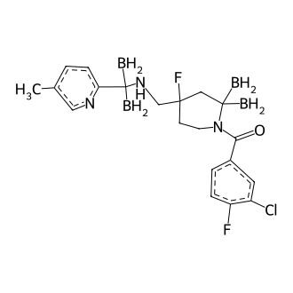 BC(B)(NCC1(F)CCN(C(=O)c2ccc(F)c(Cl)c2)C(B)(B)C1)c1ccc(C)cn1